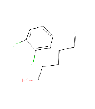 CCCCCCO.Clc1ccccc1Cl